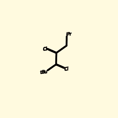 CC(C)CC(Cl)[C](Cl)C(C)(C)C